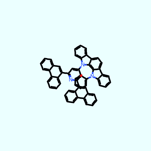 c1ccc(-n2c3ccccc3c3ccc4c5ccccc5n(-c5cc(-c6cc7ccccc7c7ccccc67)nc(-c6cc7ccccc7c7ccccc67)c5)c4c32)cc1